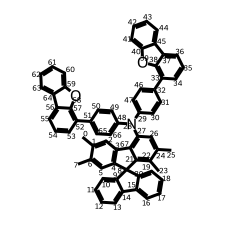 Cc1cc2c(cc1C)C1(c3ccccc3-c3ccccc31)c1c(C)c(C)cc(N(c3ccc(-c4cccc5c4oc4ccccc45)cc3)c3ccc(-c4cccc5c4oc4ccccc45)cc3)c1-2